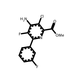 COC(=O)c1nc(-c2cccc(F)c2)c(F)c(N)c1Cl